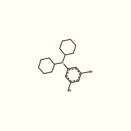 CC(C)c1cc(C(C)C)cc(P(C2CCCCC2)C2CCCCC2)c1